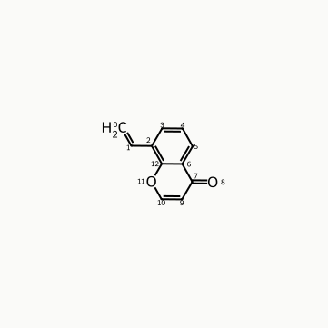 C=Cc1cccc2c(=O)ccoc12